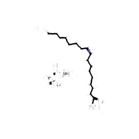 CCCCCCCC/C=C\CCCCCCCC(N)=O.N.N.O=S(=O)(O)O